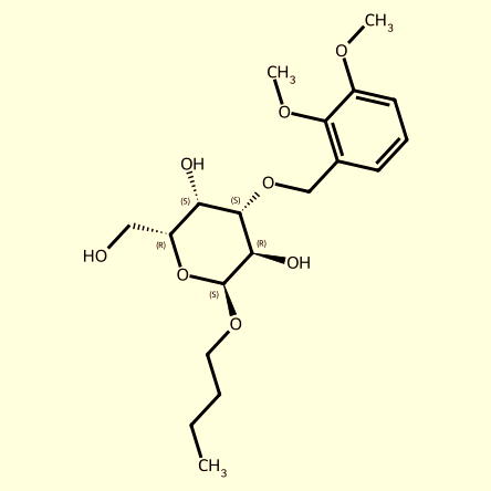 CCCCO[C@H]1O[C@H](CO)[C@H](O)[C@H](OCc2cccc(OC)c2OC)[C@H]1O